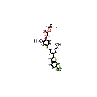 CCCCC(CCSc1ccc(OCC(=O)OCC)c(C)c1)C1Cc2ccc(C(F)(F)F)cc2S1